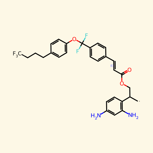 [CH2]C(COC(=O)/C=C/c1ccc(C(F)(F)Oc2ccc(CCCC(F)(F)F)cc2)cc1)c1ccc(N)cc1N